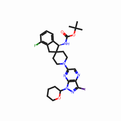 CC(C)(C)OC(=O)N[C@@H]1c2cccc(F)c2CC12CCN(c1cnc3c(I)nn(C4CCCCO4)c3n1)CC2